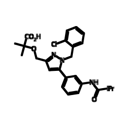 CC(C)C(=O)Nc1cccc(-c2cc(COC(C)(C)C(=O)O)nn2Cc2ccccc2Cl)c1